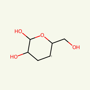 OCC1[C]CC(O)C(O)O1